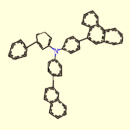 C1=C(c2ccccc2)CCC=C1N(c1ccc(-c2ccc3ccccc3c2)cc1)c1ccc(-c2cc3ccccc3c3ccccc23)cc1